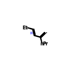 [CH]=C(/C=C/CC)CCC